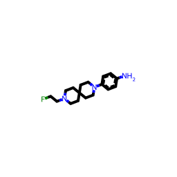 Nc1ccc(N2CCC3(CCN(CCF)CC3)CC2)cc1